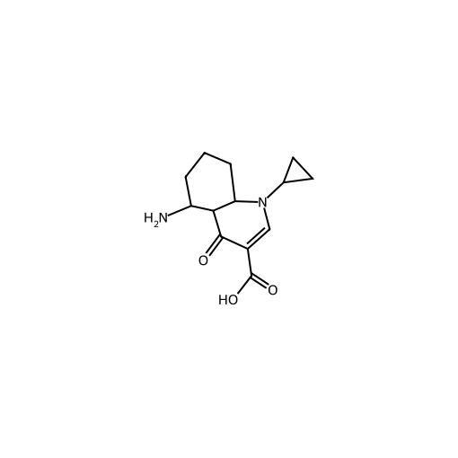 NC1CCCC2C1C(=O)C(C(=O)O)=CN2C1CC1